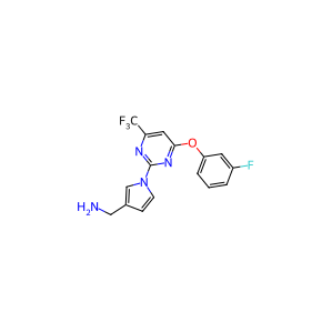 NCc1ccn(-c2nc(Oc3cccc(F)c3)cc(C(F)(F)F)n2)c1